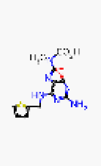 CN(C(=O)O)c1nc2c(NCc3cccs3)nc(N)nc2o1